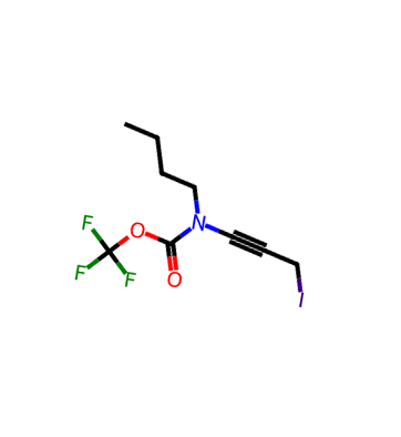 CCCCN(C#CCI)C(=O)OC(F)(F)F